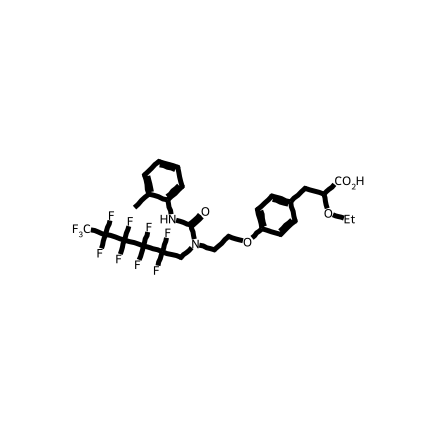 CCOC(Cc1ccc(OCCN(CC(F)(F)C(F)(F)C(F)(F)C(F)(F)C(F)(F)F)C(=O)Nc2ccccc2C)cc1)C(=O)O